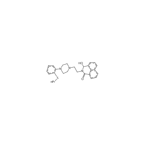 CCCSc1ccccc1N1CCN(CCN2C(=O)c3cccc4cccc(c34)C2O)CC1